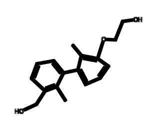 Cc1c(CO)cccc1-c1cccc(OCCO)c1C